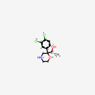 C[C@@H](O)C1(c2ccc(Cl)c(Cl)c2)CNCCO1